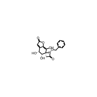 O=C1C=C2C(=C(O)[C@]3(CC(=O)N3OCc3ccccc3)[C@H](O)[C@@H]2O)O1